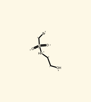 O=S(=O)(CBr)NCCO